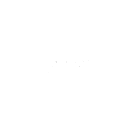 CCOc1ccc(Nc2nc(-c3ccc(-n4ccnc4)cc3)cs2)cc1